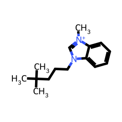 C[n+]1cn(CCCC(C)(C)C)c2ccccc21